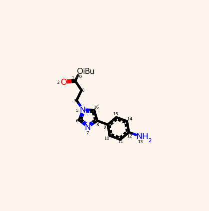 CC(C)COC(=O)CCn1cnc(-c2ccc(N)cc2)c1